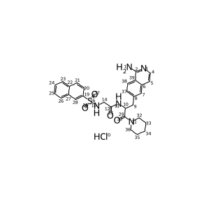 Cl.Nc1nccc2cc(CC(NC(=O)CNS(=O)(=O)c3ccc4ccccc4c3)C(=O)N3CCCCC3)ccc12